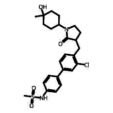 CC1(O)CCC(N2CCC(Cc3ccc(-c4ccc(NS(C)(=O)=O)cc4)cc3Cl)C2=O)CC1